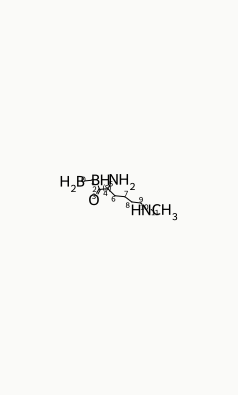 BBC(=O)[C@@H](N)CCCCNC